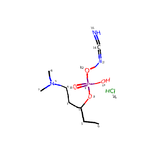 CCC(CCN(C)C)OP(=O)(O)ON=C=N.Cl